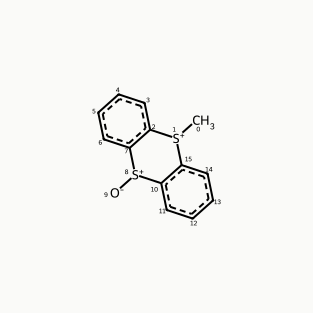 C[S+]1c2ccccc2[S+]([O-])c2ccccc21